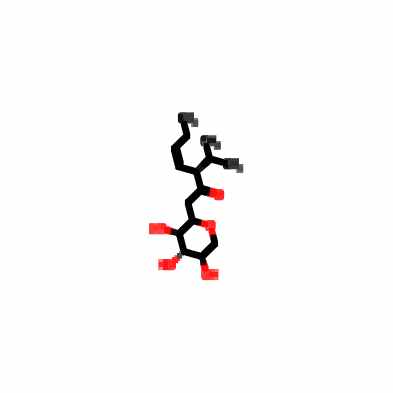 CC/C=C\[C@H](C(=O)CC1OC[C@@H](O)[C@H](O)[C@H]1O)C(C)C